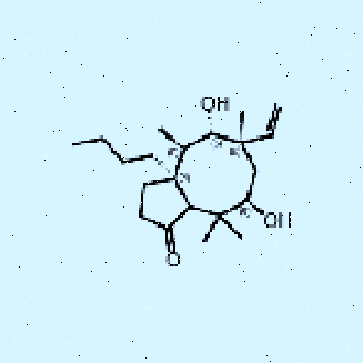 C=C[C@]1(C)C[C@@H](O)C(C)(C)C2C(=O)CC[C@@]2(CCCC)[C@@H](C)[C@@H]1O